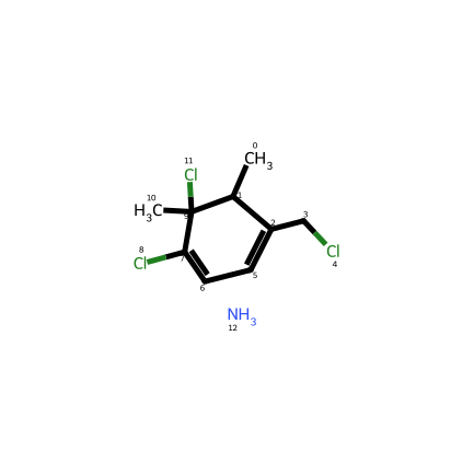 CC1C(CCl)=CC=C(Cl)C1(C)Cl.N